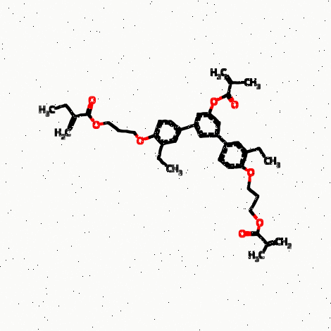 C=C(C)C(=O)OCCCOc1ccc(-c2cc(OC(=O)C(=C)C)cc(-c3ccc(OCCCOC(=O)C(=C)CC)c(CC)c3)c2)cc1CC